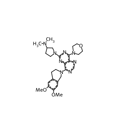 COc1cc2c(cc1OC)CN(c1ncnc3c(N4CCOCC4)nc(N4CCC(N(C)C)C4)nc13)CC2